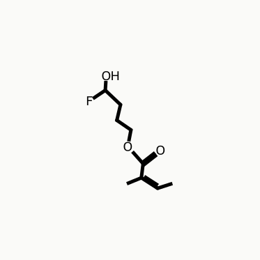 CC=C(C)C(=O)OCCCC(O)F